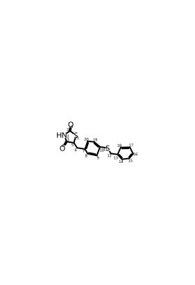 O=C1NC(=O)C(Cc2ccc(SCc3ccccc3)cc2)S1